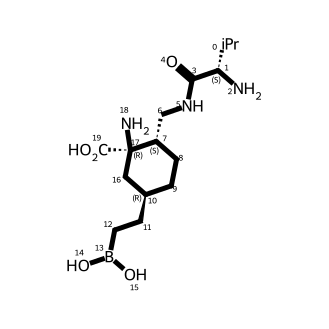 CC(C)[C@H](N)C(=O)NC[C@@H]1CC[C@@H](CCB(O)O)C[C@]1(N)C(=O)O